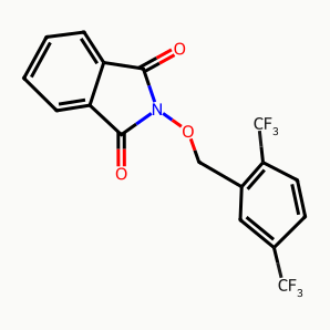 O=C1c2ccccc2C(=O)N1OCc1cc(C(F)(F)F)ccc1C(F)(F)F